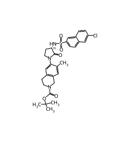 Cc1cc2c(cc1N1CC[C@H](NS(=O)(=O)c3ccc4cc(Cl)ccc4c3)C1=O)CCN(C(=O)OC(C)(C)C)C2